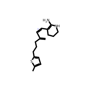 C=C(/C=C\C1=C(N)NCCC1)CCCc1ccc(C)s1